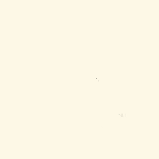 Cl.O=C(O)c1ccccc1CN(CCc1ccc(Cl)cc1)C1CCNCC1